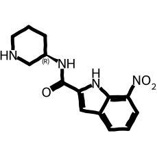 O=C(N[C@@H]1CCCNC1)c1cc2cccc([N+](=O)[O-])c2[nH]1